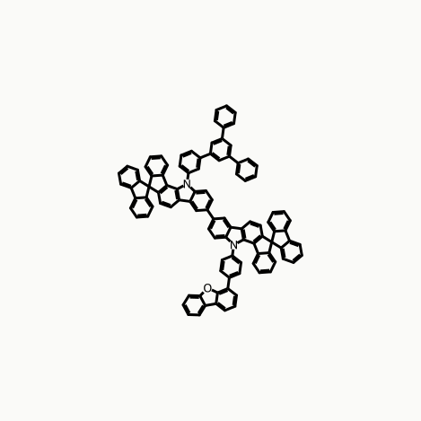 c1ccc(-c2cc(-c3ccccc3)cc(-c3cccc(-n4c5ccc(-c6ccc7c(c6)c6ccc8c(c6n7-c6ccc(-c7cccc9c7oc7ccccc79)cc6)-c6ccccc6C86c7ccccc7-c7ccccc76)cc5c5ccc6c(c54)-c4ccccc4C64c5ccccc5-c5ccccc54)c3)c2)cc1